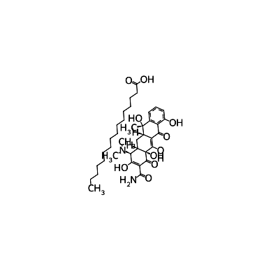 CCCCCCCCCCCCCCCC(=O)O.CN(C)[C@@H]1C(O)=C(C(N)=O)C(=O)[C@@]2(O)C(O)=C3C(=O)c4c(O)cccc4[C@@](C)(O)[C@H]3C[C@@H]12